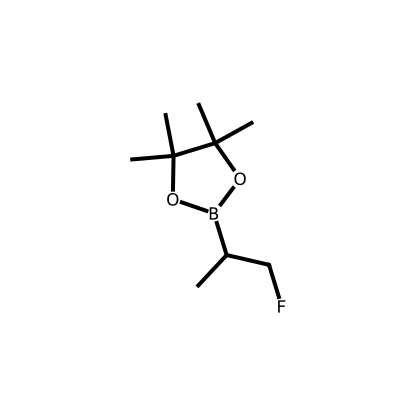 CC(CF)B1OC(C)(C)C(C)(C)O1